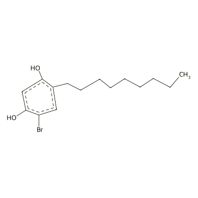 CCCCCCCCCc1cc(Br)c(O)cc1O